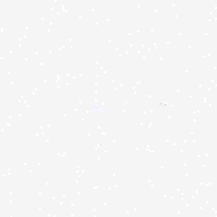 COCC1(C)CCN(c2c(Cl)cccc2[N+](=O)[O-])CC1